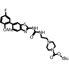 COc1ccc(F)cc1-c1ccc2nc(NC(=O)NCCN3CCN(C(=O)OC(C)(C)C)CC3)sc2c1